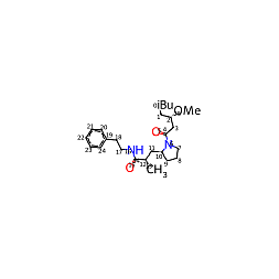 CC[C@H](C)C[C@@H](CC(=O)N1CCC[C@H]1C[C@@H](C)C(=O)NCCc1ccccc1)OC